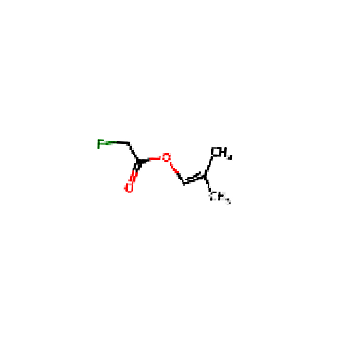 CC(C)=COC(=O)CF